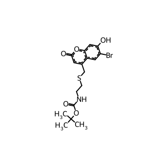 CC(C)(C)OC(=O)NCCSCc1cc(=O)oc2cc(O)c(Br)cc12